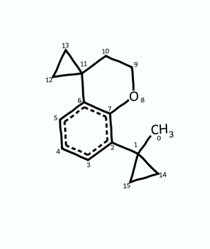 CC1(c2cccc3c2OCCC32CC2)CC1